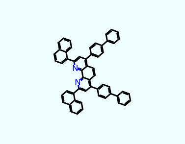 c1ccc(-c2ccc(-c3cc(-c4cccc5ccccc45)nc4c3ccc3c(-c5ccc(-c6ccccc6)cc5)cc(-c5cccc6ccccc56)nc34)cc2)cc1